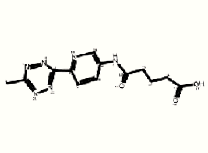 Cc1nnc(-c2ccc(NC(=O)CCCC(=O)O)cn2)nn1